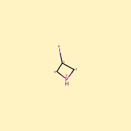 IC1CPC1